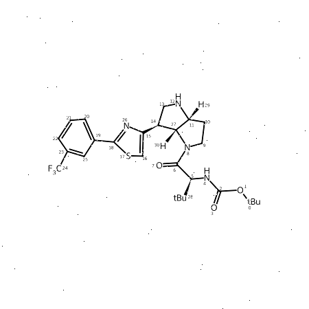 CC(C)(C)OC(=O)N[C@H](C(=O)N1CC[C@H]2NC[C@H](c3csc(-c4cccc(C(F)(F)F)c4)n3)[C@H]21)C(C)(C)C